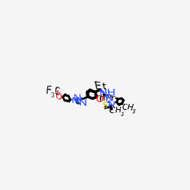 CCCc1ccc(C)cc1-n1c(C)cs/c1=N\C(=O)NC(CC)c1ccc(-c2ncn(-c3ccc(OC(F)(F)F)cc3)n2)cc1